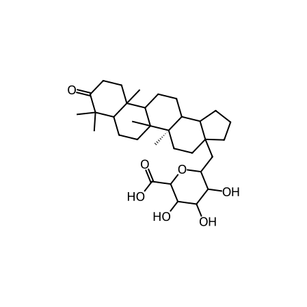 CC1(C)C(=O)CCC2(C)C1CCC1(C)C2CCC2C3CCCC3(CC3OC(C(=O)O)C(O)C(O)C3O)CC[C@]21C